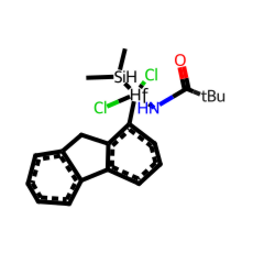 C[SiH](C)[Hf]([Cl])([Cl])([NH]C(=O)C(C)(C)C)[c]1cccc2c1Cc1ccccc1-2